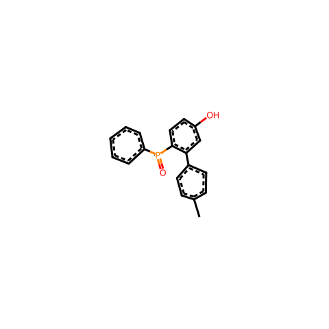 Cc1ccc(-c2cc(O)ccc2[P](=O)c2ccccc2)cc1